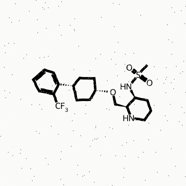 CS(=O)(=O)N[C@H]1CCCN[C@H]1CO[C@H]1CC[C@@H](c2ccccc2C(F)(F)F)CC1